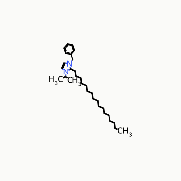 CCCCCCCCCCCCCCCCCC1N(Cc2ccccc2)C=CN1C(C)C